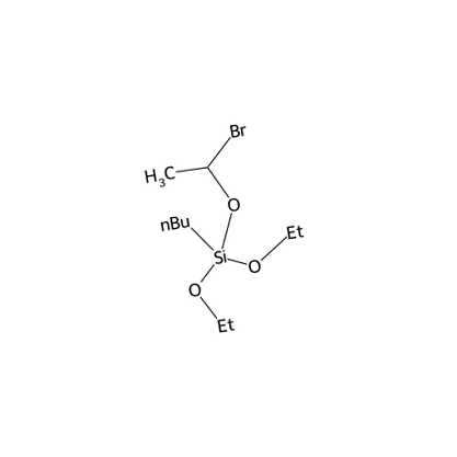 CCCC[Si](OCC)(OCC)OC(C)Br